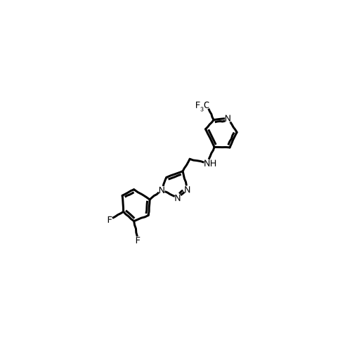 Fc1ccc(-n2cc(CNc3ccnc(C(F)(F)F)c3)nn2)cc1F